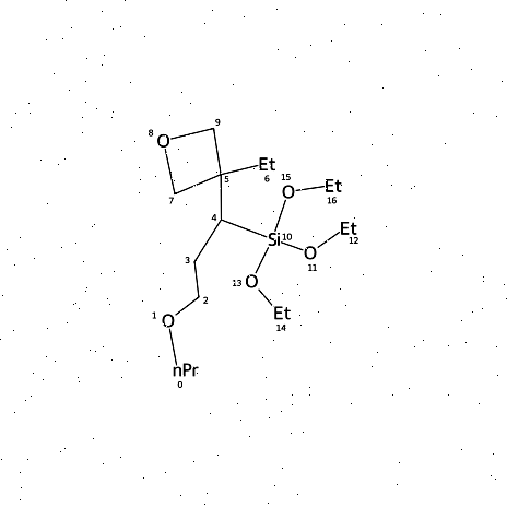 CCCOCCC(C1(CC)COC1)[Si](OCC)(OCC)OCC